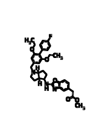 CCOc1cc(CN2CC[C@H]3C(Nc4nc5cc(CC(=O)OC)ccc5o4)CC[C@H]32)cc(OCC)c1-c1ccc(F)cc1